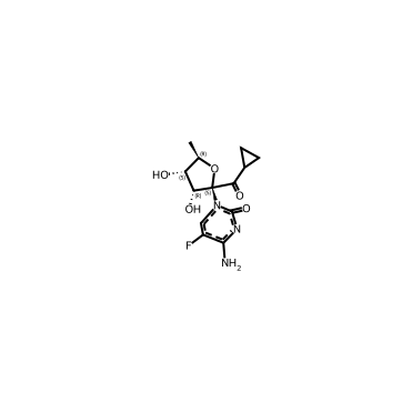 C[C@H]1O[C@@](C(=O)C2CC2)(n2cc(F)c(N)nc2=O)[C@H](O)[C@@H]1O